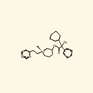 C[N@+]1(CCc2ccncn2)CCCC(OC(=O)C(O)(c2ccccc2)C2CCCCC2)C1